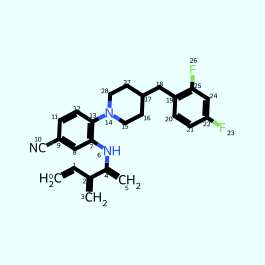 C=CC(=C)C(=C)Nc1cc(C#N)ccc1N1CCC(Cc2ccc(F)cc2F)CC1